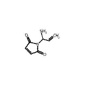 C=CC([SiH3])N1C(=O)C=CC1=O